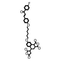 O=C1CC(C2CC3C(=O)OC(=O)C3c3cc(OCCCCCCOc4ccc(/C=C/C(=O)c5ccc(F)cc5)cc4)ccc32)C(=O)O1